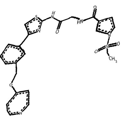 CS(=O)(=O)n1ccc(C(=O)NCC(=O)Nc2nc(-c3cccc(COc4ccncc4)c3)cs2)c1